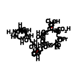 CCC(=O)[C@@H]1CSSC[C@H](NC(=O)[C@@H](CC(=O)[C@H](Cc2ccccc2)NC(=O)CCCC(=O)N[C@]23CNCCNC[C@](N)(CNCCNC2)CNCCNC3)Cc2c[nH]cn2)C(=O)N2C[C@H](O)C[C@H]2C(=O)C[C@@H](Cc2ccc(O)c(Cl)c2)C(=O)N[C@@H](CC(=O)O)C(=O)C[C@@H](CC(C)C)C(=O)N1